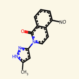 Cc1cc(-n2ccc3c(N=O)cccc3c2=O)n[nH]1